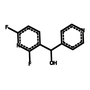 OC(c1ccncc1)c1ccc(F)nc1F